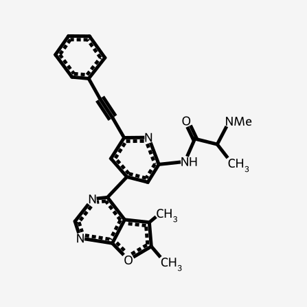 CNC(C)C(=O)Nc1cc(-c2ncnc3oc(C)c(C)c23)cc(C#Cc2ccccc2)n1